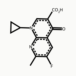 Cc1nc2c(cc1F)c(=O)c(C(=O)O)cn2C1CC1